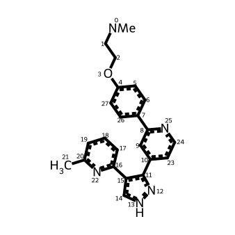 CNCCOc1ccc(-c2cc(-c3n[nH]cc3-c3cccc(C)n3)ccn2)cc1